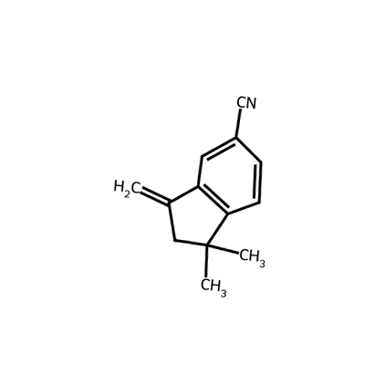 C=C1CC(C)(C)c2ccc(C#N)cc21